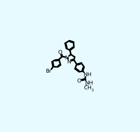 CNC(=O)Nc1ccc(C2=NN(C(=O)c3ccc(Br)cc3)C(c3ccccc3)C2)cc1